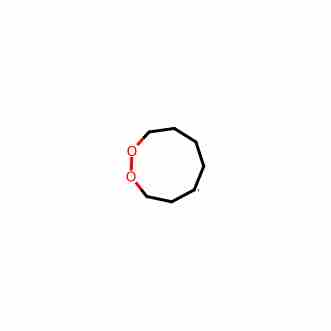 [CH]1CCCCOOCC1